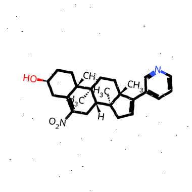 C[C@]12CC[C@H](O)CC1=C([N+](=O)[O-])C[C@@H]1[C@]2(C)CC[C@]2(C)C(c3cccnc3)=CC[C@@]12C